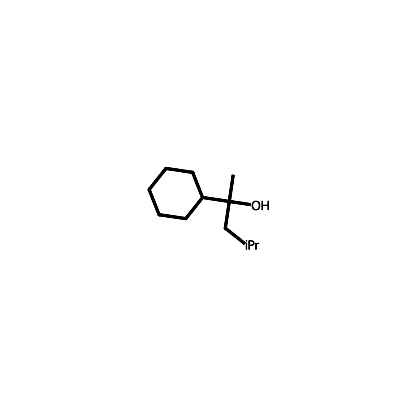 CC(C)CC(C)(O)C1CCCCC1